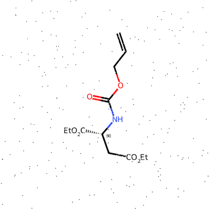 C=CCOC(=O)N[C@H](CC(=O)OCC)C(=O)OCC